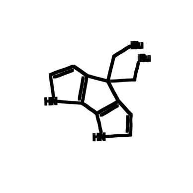 CCC(C)CC1(CC(C)CC)c2cc[nH]c2-c2[nH]ccc21